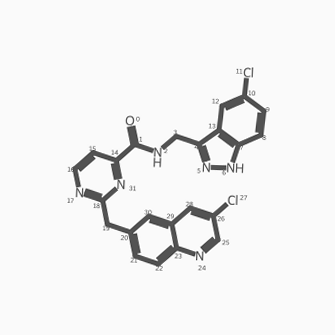 O=C(NCc1n[nH]c2ccc(Cl)cc12)c1ccnc(Cc2ccc3ncc(Cl)cc3c2)n1